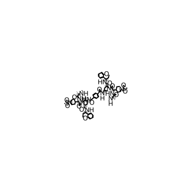 CN[C@@H](C)C(=O)N[C@H](C(=O)N1C[C@@H](NC(=O)c2ccc(C(=O)N[C@H]3C[C@@H](C(=O)N[C@@H]4CCOc5ccccc54)N(C(=O)[C@@H](NC(=O)[C@H](C)NC)C4CCN(S(C)(=O)=O)CC4)C3)cc2)C[C@H]1C(=O)N[C@@H]1CCOc2ccccc21)C1CCN(S(C)(=O)=O)CC1